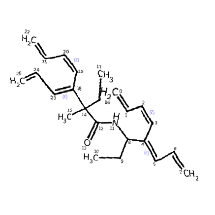 C=C/C=C\C(=C/C=C)C(CC)NC(=O)C(C)(CC)C(/C=C\C=C)=C/C=C